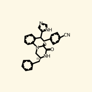 N#Cc1ccc(CC(c2cnc[nH]2)c2ccccc2N2C[C@H](Cc3ccccc3)NC(=O)C2=O)cc1